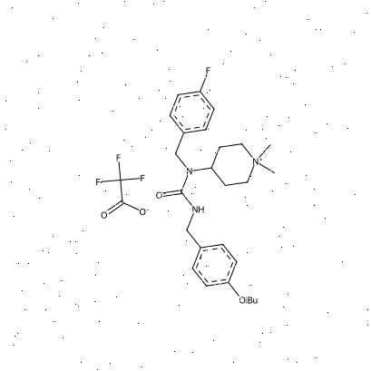 CC(C)COc1ccc(CNC(=O)N(Cc2ccc(F)cc2)C2CC[N+](C)(C)CC2)cc1.O=C([O-])C(F)(F)F